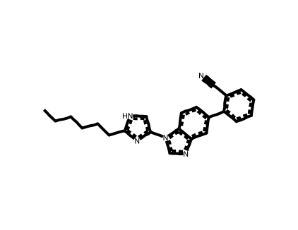 CCCCCCc1nc(-n2cnc3cc(-c4ccccc4C#N)ccc32)c[nH]1